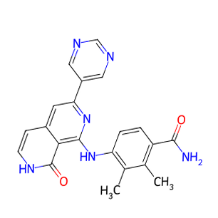 Cc1c(Nc2nc(-c3cncnc3)cc3cc[nH]c(=O)c23)ccc(C(N)=O)c1C